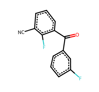 N#Cc1cccc(C(=O)c2cccc(F)c2)c1F